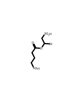 CCCCCCCCCCCC(=O)OC(CC)CS(=O)(=O)O